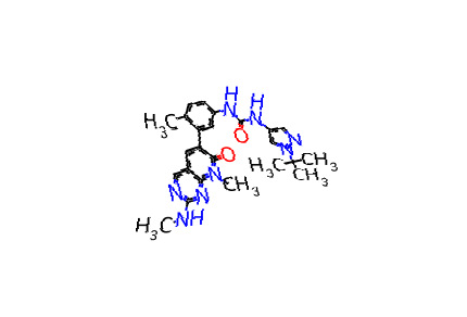 CNc1ncc2cc(-c3cc(NC(=O)Nc4cnn(C(C)(C)C)c4)ccc3C)c(=O)n(C)c2n1